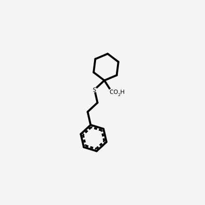 O=C(O)C1(SCCc2ccccc2)CCCCC1